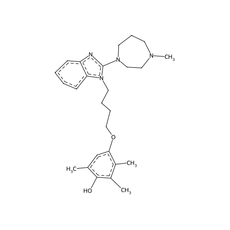 Cc1cc(OCCCCn2c(N3CCCN(C)CC3)nc3ccccc32)c(C)c(C)c1O